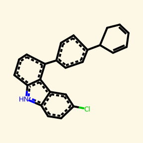 Clc1ccc2[nH]c3cccc(-c4ccc(C5C=CC=CC5)cc4)c3c2c1